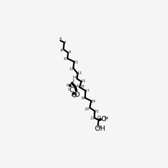 C=C=O.C=C=O.CCCCCCCCCCCCCCCCCC(=O)O